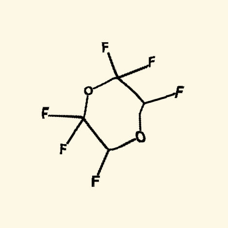 FC1OC(F)C(F)(F)OC1(F)F